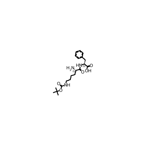 CC(C)(C)OC(=O)NCCCC[C@H](N)C(=O)N[C@@H](Cc1ccccc1)C(=O)O